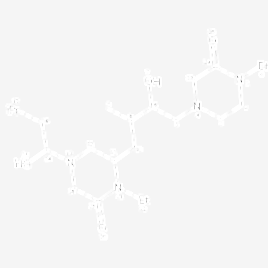 CCN1CCN(CC(O)C(C)CC2CN(C(O)CC(C)C)CC(=O)N2CC)CC1=O